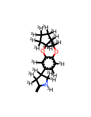 [2H]c1c([2H])c(C2([2H])C([2H])([2H])C(=C)N([2H])C2([2H])[2H])c([2H])c(OC2([2H])C([2H])([2H])C([2H])([2H])C([2H])([2H])C2([2H])[2H])c1OC([2H])([2H])[2H]